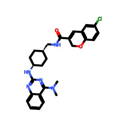 CN(C)c1nc(N[C@H]2CC[C@@H](CNC(=O)C3=Cc4cc(Cl)ccc4OC3)CC2)nc2ccccc12